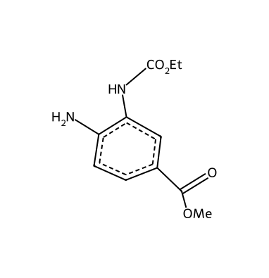 CCOC(=O)Nc1cc(C(=O)OC)ccc1N